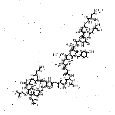 CC[C@H](C)[C@H](NC(=O)CNC(=O)[C@@H](NC(=O)[C@H](CC(N)=O)NC(=O)CNC(=O)[C@H](C)NC(=O)[C@H](CC(=O)O)NC(=O)[C@H](Cc1ccc(O)cc1)NC(=O)[C@H](C)NC(=O)[C@H](C)NC(=O)[C@H](CCCNC(=N)N)NC(=O)[C@@H](NC(=O)CNC(=O)[C@@H](N)CCC(=O)O)C(C)C)C(C)C)C(=O)NCC(=O)N[C@@H](CC(N)=O)C(=O)N[C@@H](CCC(N)=O)C(=O)N[C@H](C(=O)N[C@@H](CCCCN)C(=O)NCC(=O)O)[C@@H](C)CC